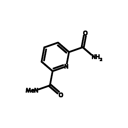 CNC(=O)c1cccc(C(N)=O)n1